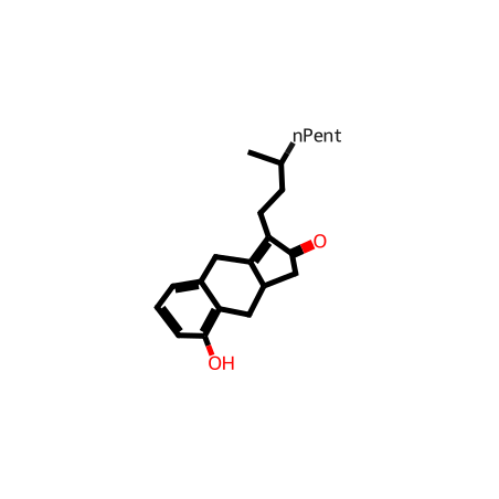 CCCCCC(C)CCC1=C2Cc3cccc(O)c3CC2CC1=O